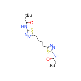 CC(C)(C)CC(=O)Nc1nnc(CCCCc2nnc(NC(=O)CC(C)(C)C)s2)s1